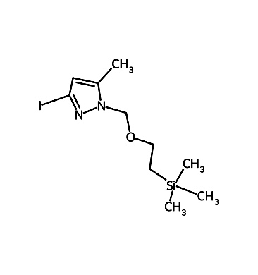 Cc1cc(I)nn1COCC[Si](C)(C)C